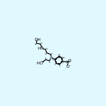 O=[N+]([O-])c1ccc(N(CCO)CCCNCCO)cc1